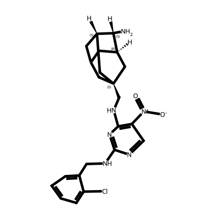 N[C@@H]1[C@@H]2CC3C[C@H]1C[C@@](CNc1nc(NCc4ccccc4Cl)ncc1[N+](=O)[O-])(C3)C2